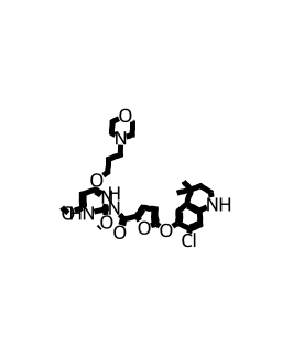 COC1=CC(OCCCN2CCOCC2)=NC(NC(=O)c2ccc(Oc3cc4c(cc3Cl)NCCC4(C)C)o2)(OC)N1